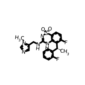 C[C@H](c1ccccc1F)c1c(F)ccc2c1NC(NCc1cncn1C)=NS2(=O)=O